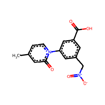 Cc1ccn(-c2cc(C[N+](=O)[O-])cc(C(=O)O)c2)c(=O)c1